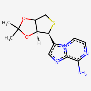 CC1(C)OC2CS[C@@H](c3cnc4c(N)nccn34)[C@H]2O1